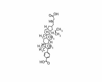 C=C(C)[C@H]1C(CNCC(=O)O)C[C@@H]2CC[C@]3(C)[C@H](CC[C@@H]4[C@@]5(C)CC=C(c6ccc(C(=O)O)cc6)C(C)(C)[C@@H]5CC[C@]43C)[C@@H]21